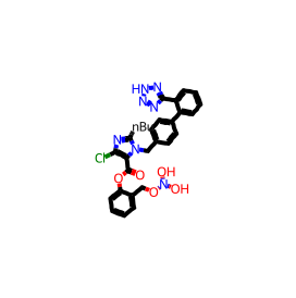 CCCCc1nc(Cl)c(C(=O)Oc2ccccc2CON(O)O)n1Cc1ccc(-c2ccccc2-c2nn[nH]n2)cc1